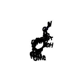 CCn1c(-c2cccnc2[C@H](C)OC)c2c3cc(ccc31)-c1cc(O)cc(c1)C[C@H](NC(=O)[C@H](C(C)C)N1CCC3(CCN(C(=O)/C=C/CN(C)C)CC3)C1=O)C(=O)N1CCC[C@H](N1)C(=O)OCC(C)(C)C2